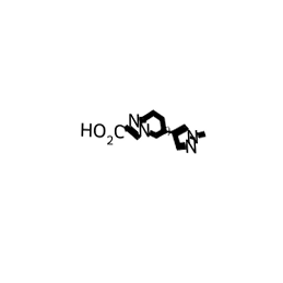 Cn1cc([C@@H]2CCc3nc(C(=O)O)cn3C2)cn1